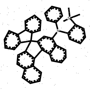 C[Si](C)(C)c1ccccc1N(c1ccccc1)c1cc2c(c3ccccc13)-c1c(ccc3ccccc13)C21c2ccccc2-c2ccccc21